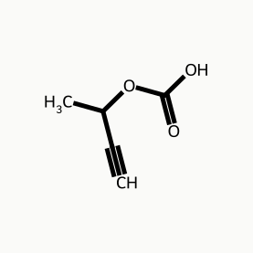 C#CC(C)OC(=O)O